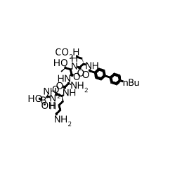 CCCCc1ccc(-c2ccc(C(=O)N[C@@H](CCC(=O)O)C(=O)N[C@H](C(=O)N[C@@H](N)C(=O)N[C@@H](CCCCN)C(=O)N[C@@H](N)B(O)O)[C@@H](C)O)cc2)cc1